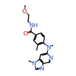 COCCNC(=O)c1ccc(N(C)c2cc3c(cn2)ncn3C)c(C)c1